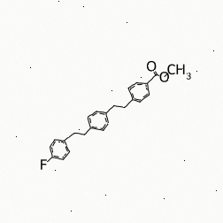 COC(=O)c1ccc(CCc2ccc(CCc3ccc(F)cc3)cc2)cc1